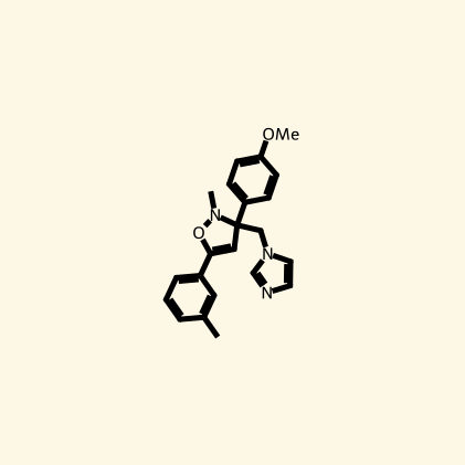 COc1ccc(C2(Cn3ccnc3)C=C(c3cccc(C)c3)ON2C)cc1